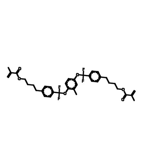 C=C(C)C(=O)OCCCCc1ccc(C(F)(F)Oc2ccc(OC(F)(F)c3ccc(CCCCOC(=O)C(=C)C)cc3)c(C)c2)cc1